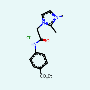 CCOC(=O)c1ccc(NC(=O)Cn2cc[n+](C)c2C)cc1.[Cl-]